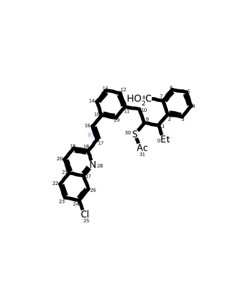 CCC(c1ccccc1C(=O)O)C(Cc1cccc(/C=C/c2ccc3ccc(Cl)cc3n2)c1)SC(C)=O